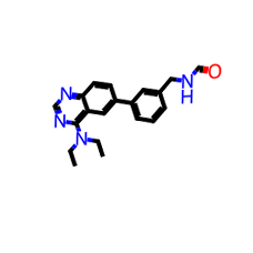 CCN(CC)c1ncnc2ccc(-c3cccc(CNC=O)c3)cc12